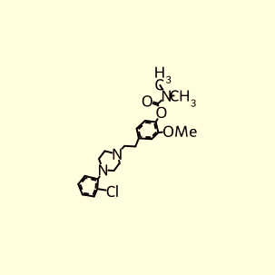 COc1cc(CCN2CCN(c3ccccc3Cl)CC2)ccc1OC(=O)N(C)C